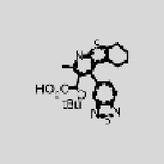 Cc1nc2sc3c(c2c(-c2ccc4nsnc4c2)c1C(OC(C)(C)C)C(=O)O)CCCC3